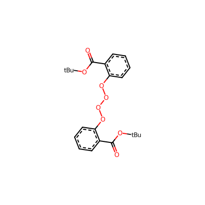 CC(C)(C)OC(=O)c1ccccc1OOOOc1ccccc1C(=O)OC(C)(C)C